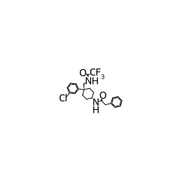 O=C(Cc1ccccc1)N[C@H]1CC[C@@](CNC(=O)C(F)(F)F)(c2cccc(Cl)c2)CC1